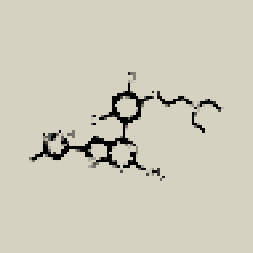 CCN(CC)CCOc1cc(-c2nc(N)nc3sc(-c4cc(C)n[nH]4)cc23)c(Cl)cc1Cl